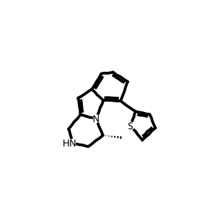 C[C@@H]1CNCc2cc3cccc(-c4cccs4)c3n21